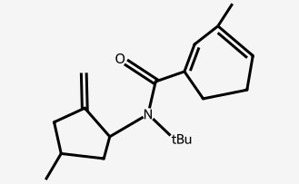 C=C1CC(C)CC1N(C(=O)C1=CC(C)=CCC1)C(C)(C)C